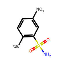 CC(C)(C)c1ccc([N+](=O)[O-])cc1S(N)(=O)=O